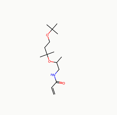 C=CC(=O)NCC(C)OC(C)(C)CCOC(C)(C)C